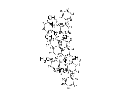 Cc1ccc(C)c(N(c2c(C)ccc(-c3ccccc3)c2C)c2ccc3ccc4c(N(c5cc(C)ccc5C)c5c(C)ccc(-c6ccccc6)c5C)ccc5ccc2c3c54)c1